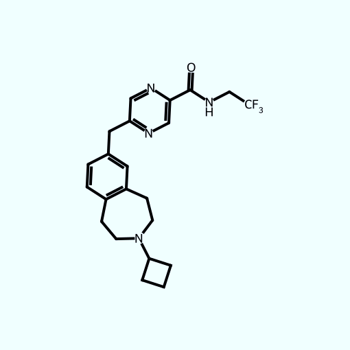 O=C(NCC(F)(F)F)c1cnc(Cc2ccc3c(c2)CCN(C2CCC2)CC3)cn1